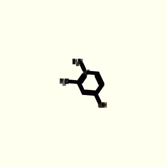 N[n+]1ccc(O)cc1C(F)(F)F